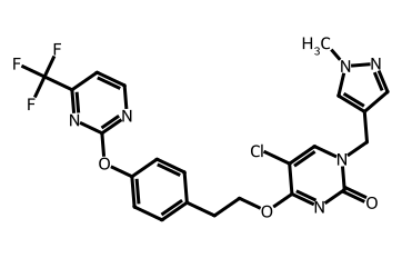 Cn1cc(Cn2cc(Cl)c(OCCc3ccc(Oc4nccc(C(F)(F)F)n4)cc3)nc2=O)cn1